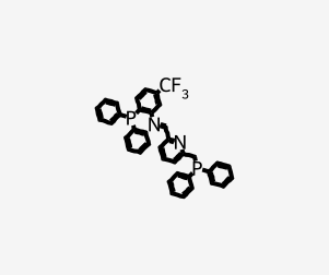 FC(F)(F)c1ccc(P(c2ccccc2)c2ccccc2)c(/N=C/c2cccc(CP(c3ccccc3)c3ccccc3)n2)c1